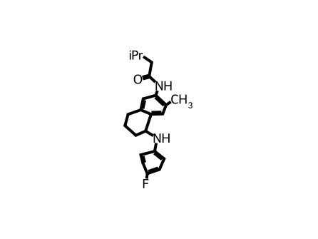 Cc1cc2c(cc1NC(=O)CC(C)C)CCCC2Nc1ccc(F)cc1